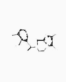 O=C(c1cccc(C(F)(F)F)c1Cl)N1CCn2c(nc(Cl)c2Br)C1